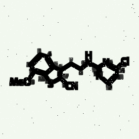 COc1cccc2c(CCNc3nccc(Cl)n3)c(C#N)sc12